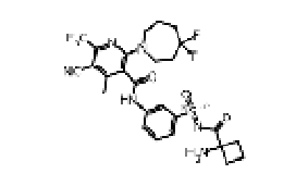 Cc1c(C#N)c(C(F)(F)F)nc(N2CCCC(F)(F)CC2)c1C(=O)Nc1cccc([S@@](C)(=O)=NC(=O)C2(N)CCC2)c1